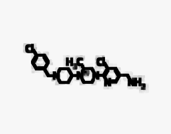 C[C@H]1CN(c2ncc(CN)cc2Cl)CCN1C1CCN(Cc2ccc(Cl)cc2)CC1